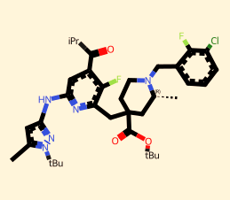 Cc1cc(Nc2cc(C(=O)C(C)C)c(F)c(CC3(C(=O)OC(C)(C)C)CCN(Cc4cccc(Cl)c4F)[C@H](C)C3)n2)nn1C(C)(C)C